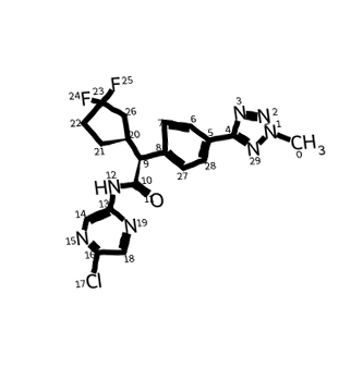 Cn1nnc(-c2ccc([C@@H](C(=O)Nc3cnc(Cl)cn3)[C@H]3CCC(F)(F)C3)cc2)n1